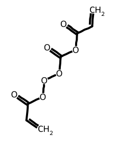 C=CC(=O)OOOC(=O)OC(=O)C=C